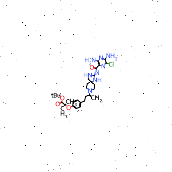 C=C(CCc1ccc(OC(C)(C)C(=O)OC(C)(C)C)cc1)N1CCC2(CC1)CN/C(=N\C(=O)c1nc(Cl)c(N)nc1N)N2